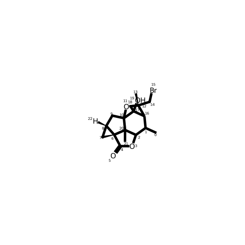 CC1C2OC(=O)[C@]34C[C@@H]3CC3(O[C@](C)(CBr)C1C3(C)O)C24C